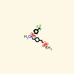 CN(CC1CCC(CCOS(C)(=O)=O)CC1)S(=O)(=O)c1ccc(C(F)(F)F)cc1